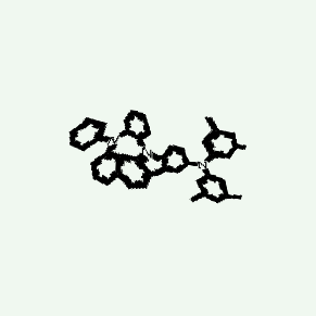 Cc1cc(C)cc(N(c2cc(C)cc(C)c2)c2ccc3c(c2)c2ccc4cccc5c4c2n3c2ccccc2n5-c2ccccc2)c1